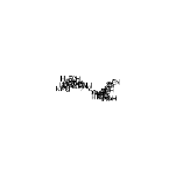 CC(C)[C@H](NC(=O)COCCCCCNc1ccc(C(=O)N[C@H]2C(C)(C)[C@H](Oc3ccc(C#N)c(Cl)c3)C2(C)C)cc1)C(=O)N1C[C@H](O)C[C@H]1C(=O)NCc1ccc(C#N)cc1